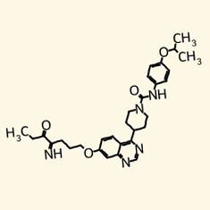 CCC(=O)C(=N)CCCOc1ccc2c(C3CCN(C(=O)Nc4ccc(OC(C)C)cc4)CC3)ncnc2c1